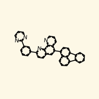 c1cnc(-c2cccc(-c3ccc4cc(-c5ccc6c7c(cccc57)-c5ccccc5-6)c5cccnc5c4n3)c2)nc1